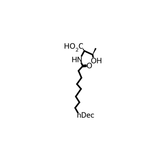 CCCCCCCCCCCCCCCCCC(=O)N[C@H](C(=O)O)[C@@H](C)O